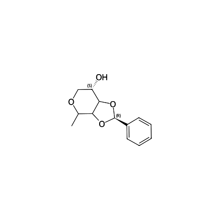 CC1OC[C@H](O)C2O[C@@H](c3ccccc3)OC12